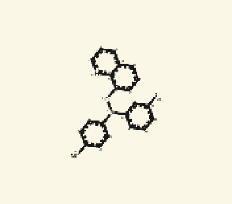 N#Cc1ccc(B(Oc2cccc3cccnc23)c2cccc(Cl)c2)cc1